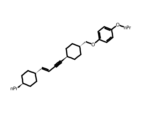 CCCOc1ccc(OC[C@H]2CC[C@H](C#C/C=C/[C@H]3CC[C@H](CCC)CC3)CC2)cc1